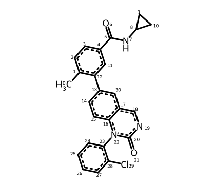 Cc1ccc(C(=O)NC2CC2)cc1-c1ccc2c(cnc(=O)n2-c2ccccc2Cl)c1